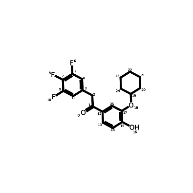 O=C(Cc1cc(F)c(F)c(F)c1)c1ccc(O)c(OC2CCCCC2)c1